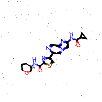 O=C(N[C@@H]1CCCOC1)c1nc(-c2cn3cc(NC(=O)C4CC4)nc3cn2)cs1